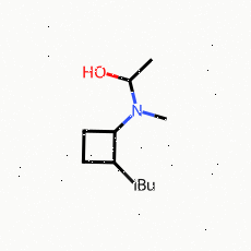 CCC(C)C1CCC1N(C)C(C)O